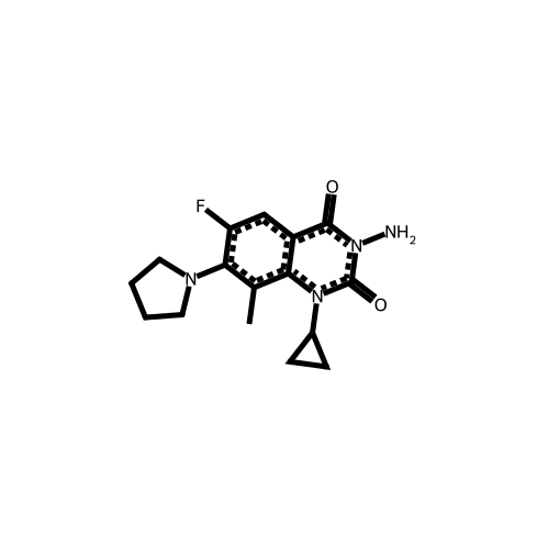 Cc1c(N2CCCC2)c(F)cc2c(=O)n(N)c(=O)n(C3CC3)c12